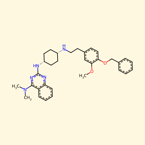 COc1cc(CCN[C@H]2CC[C@@H](Nc3nc(N(C)C)c4ccccc4n3)CC2)ccc1OCc1ccccc1